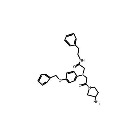 NC1CCN(C(=O)CN(CC(=O)NCCc2ccccc2)c2ccc(OCc3ccccc3)cc2)C1